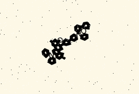 Cc1ccc2c(N(c3ccccc3)c3ccccc3)cc3c4cc(C)cc5c4c(cc3c2c1)-c1ccc(-c2ccc(N(c3ccccc3)c3cccc4c3oc3ccccc34)cc2)cc1O5